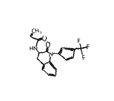 C=CC(=O)NC1Cc2ccccc2N(c2ccc(C(F)(F)F)cc2)C1=O